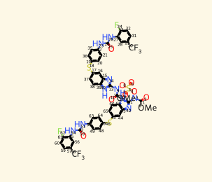 COC(=O)N(OS(=O)(=O)ON(C(=O)OC)c1nc2cc(Sc3ccc(NC(=O)Nc4cc(C(F)(F)F)ccc4F)cc3)ccc2[nH]1)c1nc2cc(Sc3ccc(NC(=O)Nc4cc(C(F)(F)F)ccc4F)cc3)ccc2[nH]1